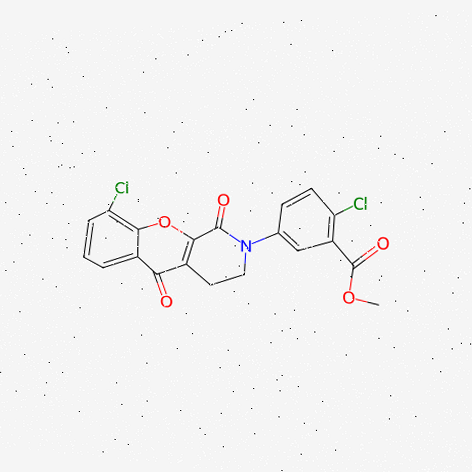 COC(=O)c1cc(N2CCc3c(oc4c(Cl)cccc4c3=O)C2=O)ccc1Cl